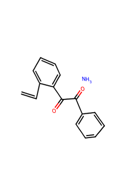 C=Cc1ccccc1C(=O)C(=O)c1ccccc1.N